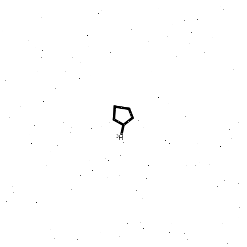 [3H][C]1CCCC1